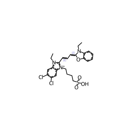 CCN1/C(=C/C=C/c2n(CC)c3cc(Cl)c(Cl)cc3[n+]2CCCCS(=O)(=O)O)Oc2ccccc21